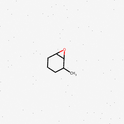 CC1CCCC2O[C]12